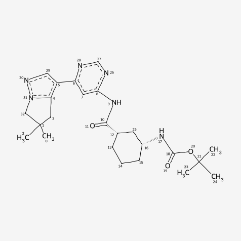 CC1(C)Cc2c(-c3cc(NC(=O)[C@H]4CCC[C@@H](NC(=O)OC(C)(C)C)C4)ncn3)cnn2C1